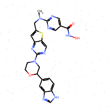 CN(Cc1cc2nc(N3CCOC(c4ccc5[nH]cnc5c4)C3)ncc2s1)c1ncc(C(=O)NO)cn1